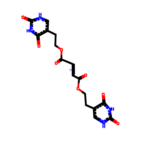 O=C(/C=C/C(=O)OCCc1c[nH]c(=O)[nH]c1=O)OCCc1c[nH]c(=O)[nH]c1=O